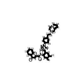 Cc1cc(NC(=O)c2cc(=O)c3ccccc3o2)c(-c2nnn(-c3ccc(CCN4CCn5cccc5C4)cc3)n2)cc1C